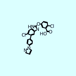 O=C(O)c1cc(Oc2nc3cc(-c4ccc(-n5cccn5)cc4)c(Cl)cc3[nH]2)ccc1Cl